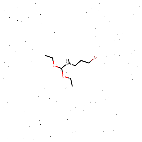 CCOC(OCC)[SiH2]CCCBr